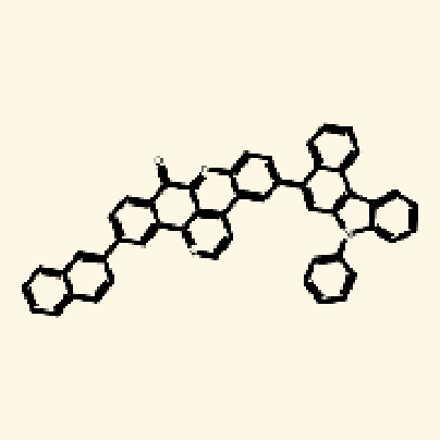 O=C1c2ccc(-c3ccc4ccccc4c3)cc2-c2nccc3c2c1nc1ccc(-c2cc4c(c5ccccc25)c2ccccc2n4-c2ccccc2)cc13